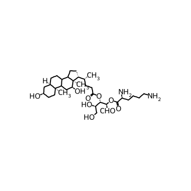 C[C@H](CCC(=O)O[C@@H]([C@H](O)CO)[C@H](C=O)OC(=O)[C@@H](N)CCCCN)[C@H]1CCC2C3CC[C@@H]4C[C@H](O)CC[C@]4(C)C3C[C@H](O)[C@@]21C